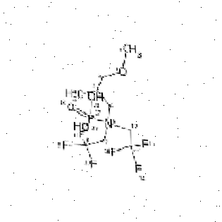 COCC(C)C[N+](CC(F)(F)F)(CC(F)(F)F)P(=O)(O)O